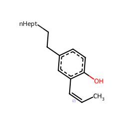 C/C=C\c1cc(CCCCCCCCC)ccc1O